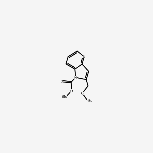 CCCCOCc1cc2ncccc2n1C(=O)OC(C)(C)C